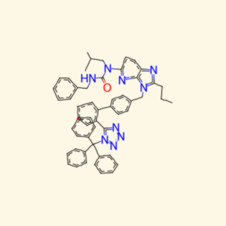 CCCc1nc2ccc(N(CC(C)C)C(=O)NCc3ccccc3)nc2n1Cc1ccc(-c2ccccc2-c2nnnn2C(c2ccccc2)(c2ccccc2)c2ccccc2)cc1